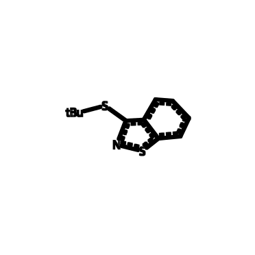 CC(C)(C)Sc1nsc2ccccc12